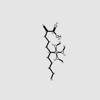 C=C(CCCC(CCCCC)[Si](OC)(OC)OC)C(=O)O